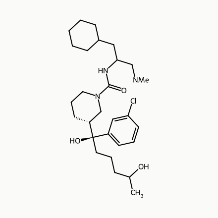 CNCC(CC1CCCCC1)NC(=O)N1CCC[C@@H]([C@@](O)(CCCC(C)O)c2cccc(Cl)c2)C1